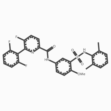 COc1ccc(NC(=O)c2ccc(F)c(-c3c(F)cccc3F)n2)cc1S(=O)(=O)Nc1c(C)cccc1C